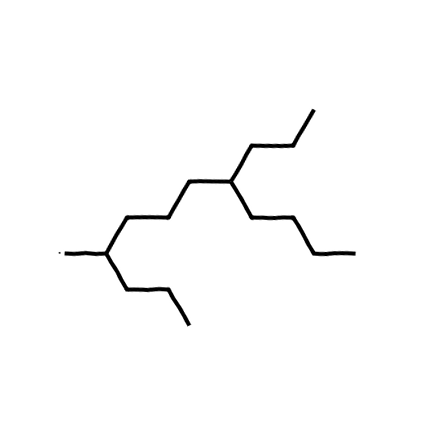 [CH2]C(CCC)CCCC(CCC)CCCC